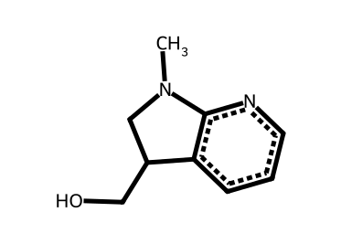 CN1CC(CO)c2cccnc21